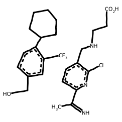 CC(=N)c1ccc(CNCCC(=O)O)c(Cl)n1.OCc1ccc(C2CCCCC2)c(C(F)(F)F)c1